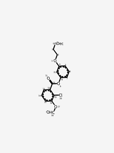 CCCCCCCCCCCCOc1cccc(OC(=O)c2cccc(O[C]=O)c2Cl)c1